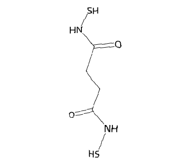 O=C(CCC(=O)NS)NS